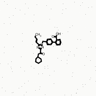 CC/C=C/c1nc(C(=O)CC2CCCCC2)nn1Cc1ccc(-c2ccccc2C(=O)O)cc1